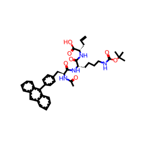 C=CC[C@H](NC(=O)[C@H](CCCCNC(=O)OC(C)(C)C)NC(=O)[C@H](Cc1ccc(-c2c3ccccc3cc3ccccc23)cc1)NC(C)=O)C(=O)O